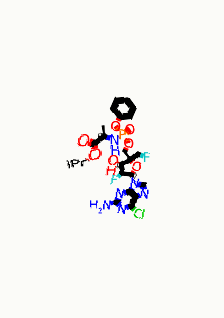 CC(C)OC(=O)[C@@H](C)NP(=O)(OC[C@@]1(CF)O[C@@H](n2cnc3c(Cl)nc(N)nc32)C(F)[C@@H]1O)Oc1ccccc1